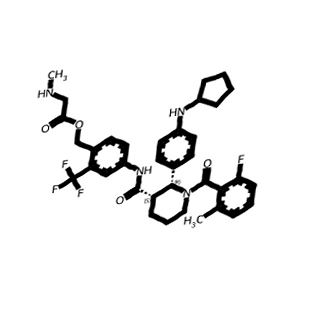 CNCC(=O)OCc1ccc(NC(=O)[C@H]2CCCN(C(=O)c3c(C)cccc3F)[C@H]2c2ccc(NC3CCCC3)cc2)cc1C(F)(F)F